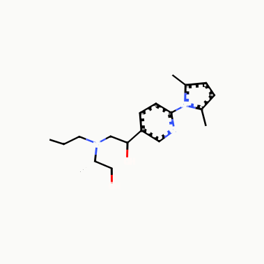 CCCN(CC(O)c1ccc(-n2c(C)ccc2C)nc1)[C@@H](C)CO